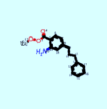 CC(C)(C)OOC(=O)c1ccc(CCCc2ccccc2)cc1N